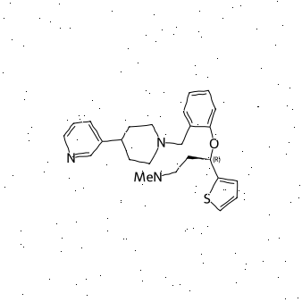 CNCC[C@@H](Oc1ccccc1CN1CCC(c2cccnc2)CC1)c1cccs1